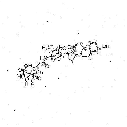 C[C@H](NC(=O)[C@@]1(O)CCC2C3CCc4cc(O)ccc4C3CC[C@@]21C)C(=O)NC(=O)CCCC(O)(P(=O)(O)O)P(=O)(O)O